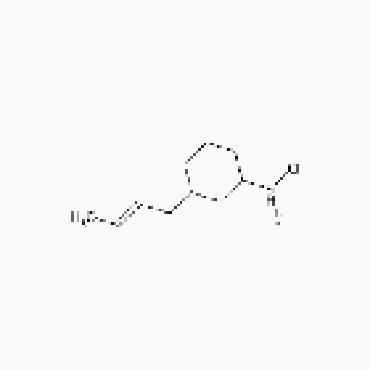 CC=CCC1CCCC([SiH](Cl)Cl)C1